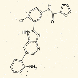 Nc1ccccc1-c1cnc2nc(-c3cc(NC(=O)c4ccco4)ccc3Cl)[nH]c2c1